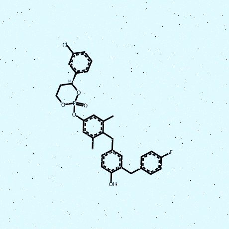 Cc1cc(OP2(=O)OCC[C@@H](c3cccc(Cl)c3)O2)cc(C)c1Cc1ccc(O)c(Cc2ccc(F)cc2)c1